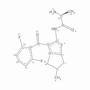 CC1Cc2sc(NC(=O)[C@H](C)N)c(C(=O)c3c(F)cccc3F)c2C1